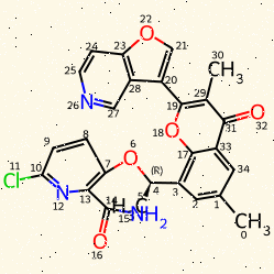 Cc1cc([C@@H](C)Oc2ccc(Cl)nc2C(N)=O)c2oc(-c3coc4ccncc34)c(C)c(=O)c2c1